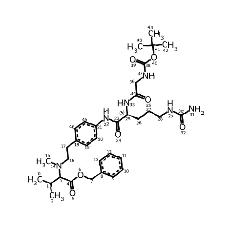 CC(C)C(C(=O)OCc1ccccc1)N(C)CCc1ccc(NC(=O)[C@H](CCCNC(N)=O)NC(=O)CNC(=O)OC(C)(C)C)cc1